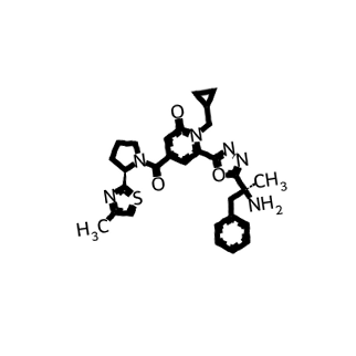 Cc1csc([C@H]2CCCN2C(=O)c2cc(-c3nnc([C@@](C)(N)Cc4ccccc4)o3)n(CC3CC3)c(=O)c2)n1